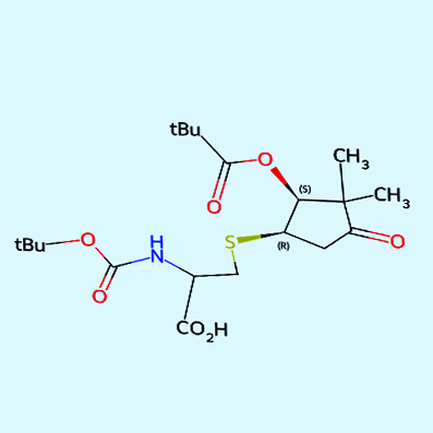 CC(C)(C)OC(=O)NC(CS[C@@H]1CC(=O)C(C)(C)[C@@H]1OC(=O)C(C)(C)C)C(=O)O